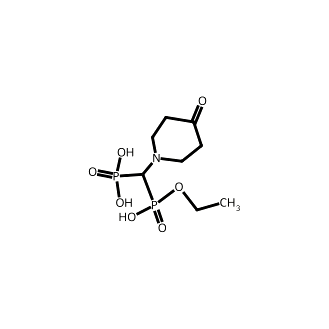 CCOP(=O)(O)C(N1CCC(=O)CC1)P(=O)(O)O